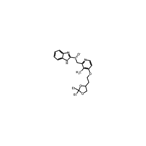 CCC1(CC)OCC(CCOc2ccnc(C[S+]([O-])c3nc4ccccc4[nH]3)c2C)O1